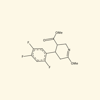 COC(=O)C1CN=C(OC)CC1c1cc(F)c(F)cc1F